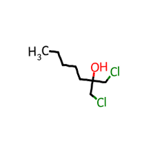 CCCCCC(O)(CCl)CCl